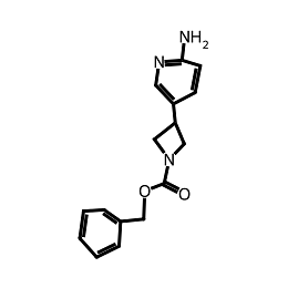 Nc1ccc(C2CN(C(=O)OCc3ccccc3)C2)cn1